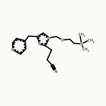 C[Si](C)(C)CCOCn1cc(Cc2ccncc2)nc1CCC#N